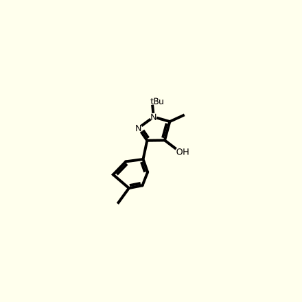 Cc1ccc(-c2nn(C(C)(C)C)c(C)c2O)cc1